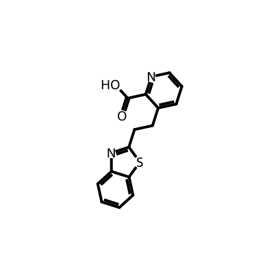 O=C(O)c1ncccc1CCc1nc2ccccc2s1